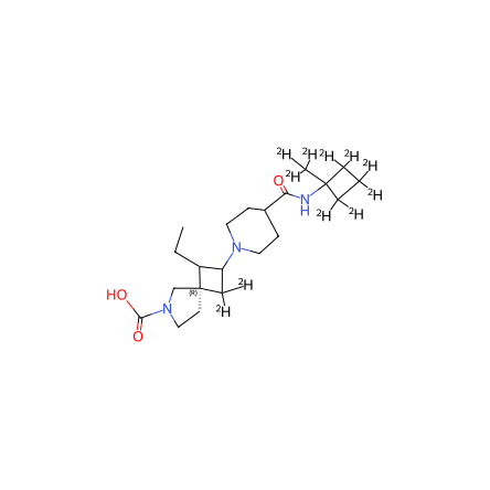 [2H]C([2H])([2H])C1(NC(=O)C2CCN(C3C(CC)[C@@]4(CCN(C(=O)O)C4)C3([2H])[2H])CC2)C([2H])([2H])C([2H])([2H])C1([2H])[2H]